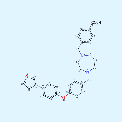 O=C(O)c1ccc(CN2CCCN(Cc3ccc(Oc4ccc(-c5ccoc5)cc4)cc3)CC2)cc1